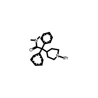 CC(C)N1CCC(C(C(=O)N(C)C)(c2ccccc2)c2ccccc2)CC1